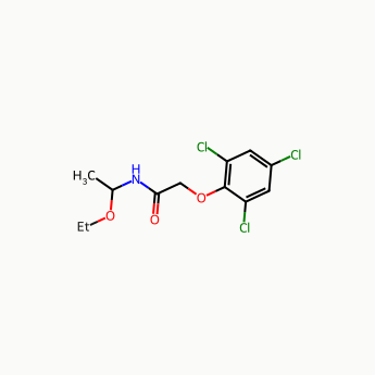 CCOC(C)NC(=O)COc1c(Cl)cc(Cl)cc1Cl